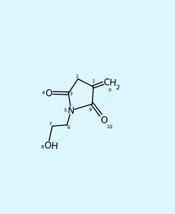 C=C1CC(=O)N(CCO)C1=O